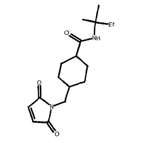 CCC(C)(C)NC(=O)C1CCC(CN2C(=O)C=CC2=O)CC1